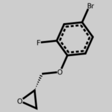 Fc1cc(Br)ccc1OC[C@@H]1CO1